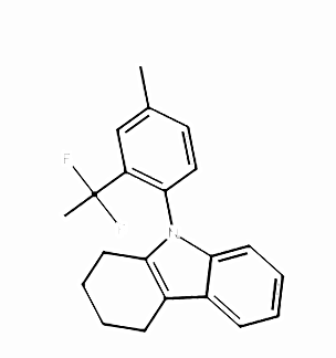 Cc1ccc(-n2c3c(c4ccccc42)CCCC3)c(C(C)(F)F)c1